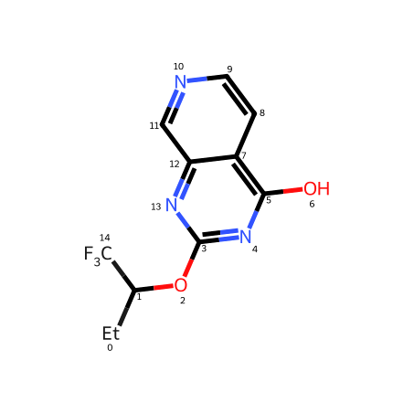 CCC(Oc1nc(O)c2ccncc2n1)C(F)(F)F